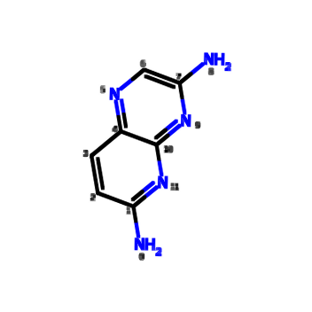 Nc1ccc2ncc(N)nc2n1